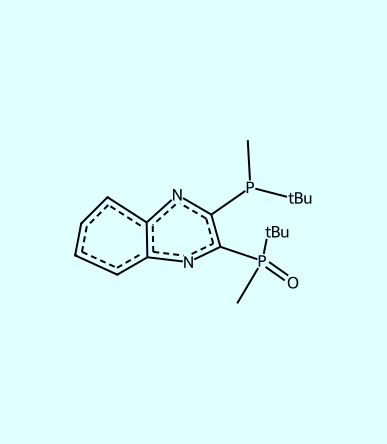 CP(c1nc2ccccc2nc1P(C)(=O)C(C)(C)C)C(C)(C)C